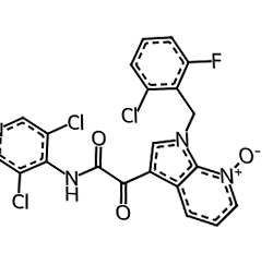 O=C(Nc1c(Cl)cncc1Cl)C(=O)c1cn(Cc2c(F)cccc2Cl)c2c1ccc[n+]2[O-]